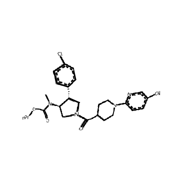 CCCOC(=O)N(C)[C@@H]1CN(C(=O)C2CCN(c3ccc(C#N)cn3)CC2)C[C@H]1c1ccc(Cl)cc1